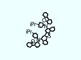 CC(C)c1ccc(N(c2cc3c4cc(N(c5ccc(C(C)C)cc5)c5cccc6c5oc5ccccc56)c5ccccc5c4sc3c3ccccc23)c2cccc3c2oc2ccccc23)cc1